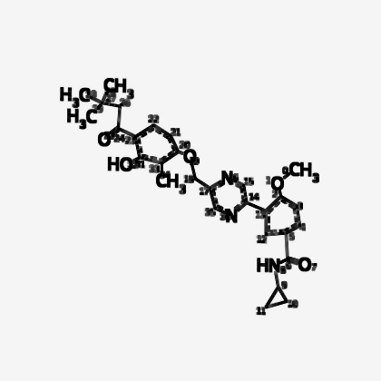 COc1ccc(C(=O)NC2CC2)cc1-c1cnc(COc2ccc(C(=O)CC(C)(C)C)c(O)c2C)cn1